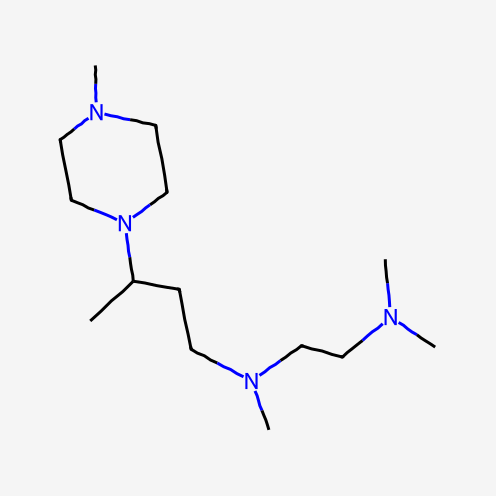 CC(CCN(C)CCN(C)C)N1CCN(C)CC1